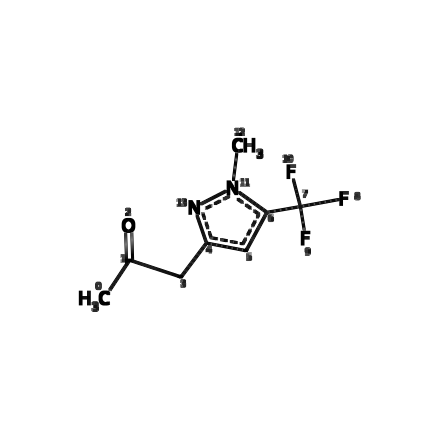 CC(=O)Cc1cc(C(F)(F)F)n(C)n1